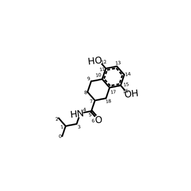 CC(C)CNC(=O)C1CCc2c(O)ccc(O)c2C1